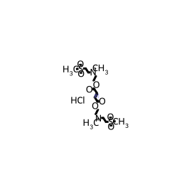 CN(CCOC(=O)/C=C/C(=O)OCCN(C)CCS(C)(=O)=O)CCS(C)(=O)=O.Cl